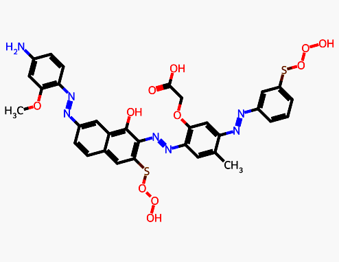 COc1cc(N)ccc1N=Nc1ccc2cc(SOOO)c(N=Nc3cc(C)c(N=Nc4cccc(SOOO)c4)cc3OCC(=O)O)c(O)c2c1